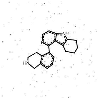 c1cc2c(c(-c3nccc4[nH]c5c(c34)CCCC5)c1)CCNC2